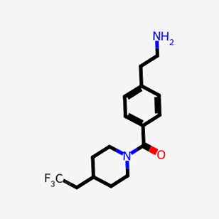 NCCc1ccc(C(=O)N2CCC(CC(F)(F)F)CC2)cc1